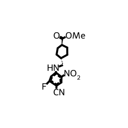 COC(=O)[C@H]1CC[C@H](CNc2cc(F)c(C#N)cc2[N+](=O)[O-])CC1